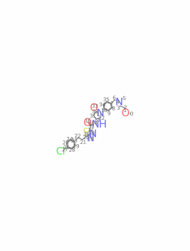 COCCN(C)Cc1ccc(N2CC(NC(=O)c3nnc(CCc4ccc(Cl)cc4)s3)CC2=O)cc1